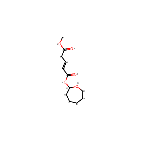 COC(=O)C/C=C/C(=O)OC1CCCCCO1